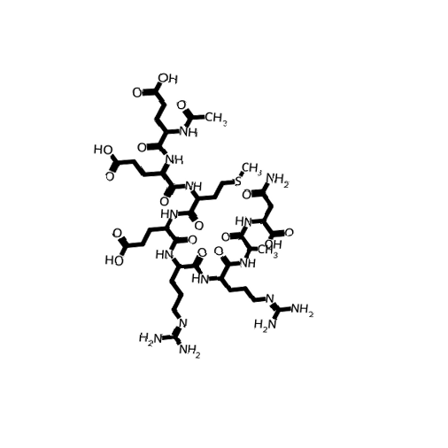 CSCCC(NC(=O)C(CCC(=O)O)NC(=O)C(CCC(=O)O)NC(C)=O)C(=O)NC(CCC(=O)O)C(=O)NC(CCCN=C(N)N)C(=O)NC(CCCN=C(N)N)C(=O)NC(C)C(=O)NC(CC(N)=O)C(=O)O